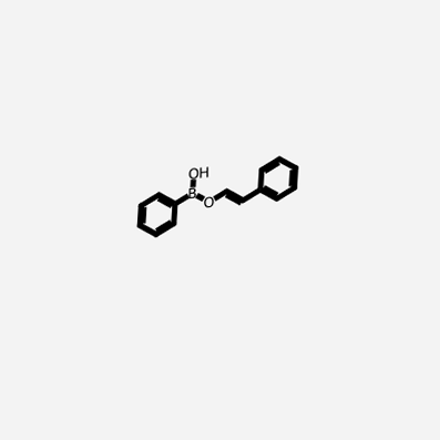 OB(OC=Cc1ccccc1)c1ccccc1